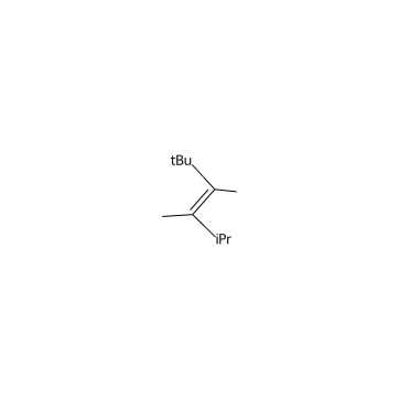 C/C(=C(/C)C(C)(C)C)C(C)C